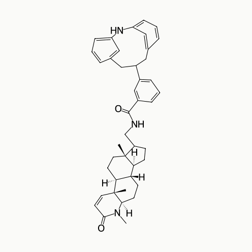 CN1C(=O)C=C[C@]2(C)[C@H]3CC[C@]4(C)C(CNC(=O)c5cccc(C6Cc7cccc(c7)Nc7cccc(c7)C6)c5)CC[C@H]4[C@@H]3CC[C@@H]12